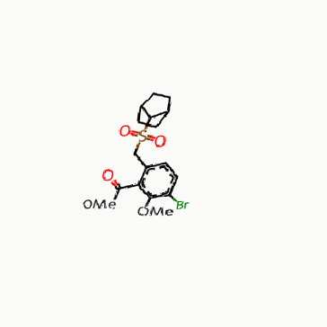 COC(=O)c1c(CS(=O)(=O)C2C3CCC2CC3)ccc(Br)c1OC